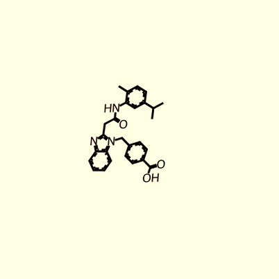 Cc1ccc(C(C)C)cc1NC(=O)Cc1nc2ccccc2n1Cc1ccc(C(=O)O)cc1